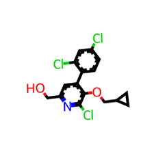 OCc1cc(-c2ccc(Cl)cc2Cl)c(OCC2CC2)c(Cl)n1